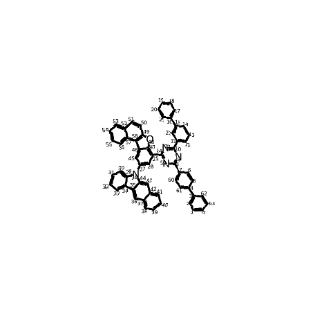 c1ccc(-c2ccc(-c3nc(-c4cccc(-c5ccccc5)c4)nc(-c4cc(-n5c6ccccc6c6cc7ccccc7cc65)cc5c4oc4ccc6ccccc6c45)n3)cc2)cc1